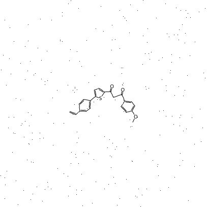 C=Cc1ccc(-c2ccc(C(=O)CC(=O)c3ccc(OC)cc3)s2)cc1